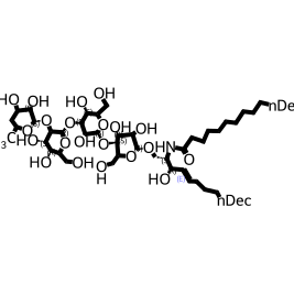 CCCCCCCCCCCCC/C=C/[C@@H](O)[C@H](CO[C@@H]1OC(CO)[C@@H](O[C@@H]2OC(CO)[C@H](O)[C@H](O[C@H]3OC(CO)[C@H](O)[C@H](O)C3O[C@@H]3OC(C)CC(O)[C@@H]3O)C2O)[C@H](O)C1O)NC(=O)CCCCCCCCCCCCCCCCCCC